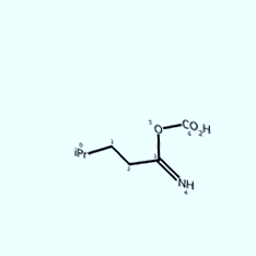 CC(C)CCC(=N)OC(=O)O